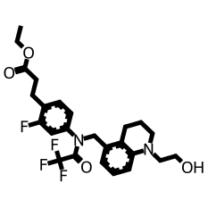 CCOC(=O)CCc1ccc(N(Cc2cccc3c2CCCN3CCO)C(=O)C(F)(F)F)cc1F